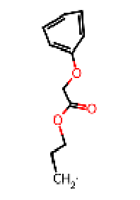 [CH2]CCOC(=O)COc1ccccc1